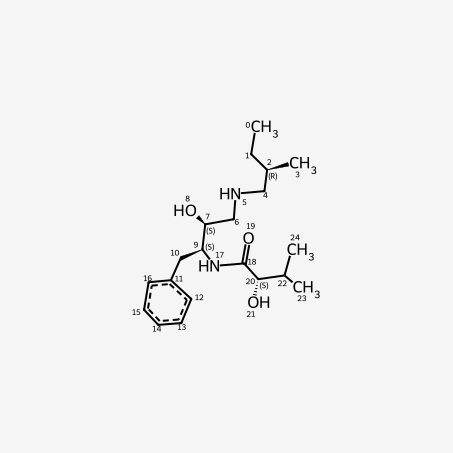 CC[C@@H](C)CNC[C@H](O)[C@H](Cc1ccccc1)NC(=O)[C@@H](O)C(C)C